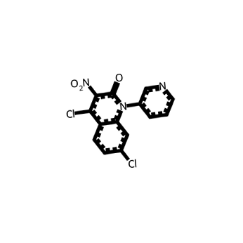 O=c1c([N+](=O)[O-])c(Cl)c2ccc(Cl)cc2n1-c1cccnc1